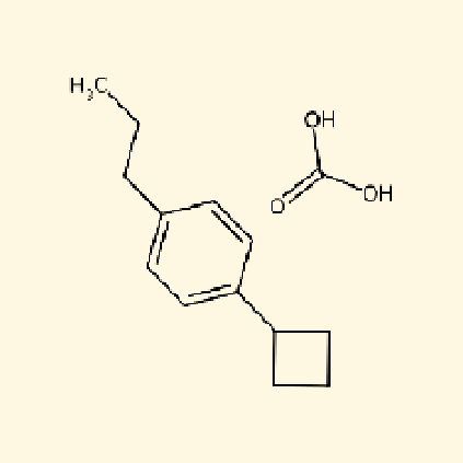 CCCc1ccc(C2CCC2)cc1.O=C(O)O